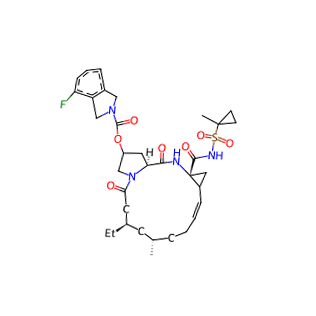 CC[C@H]1CC(=O)N2CC(OC(=O)N3Cc4cccc(F)c4C3)C[C@H]2C(=O)N[C@]2(C(=O)NS(=O)(=O)C3(C)CC3)CC2/C=C\CC[C@H](C)C1